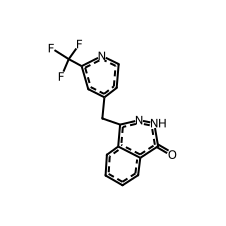 O=c1[nH]nc(Cc2ccnc(C(F)(F)F)c2)c2ccccc12